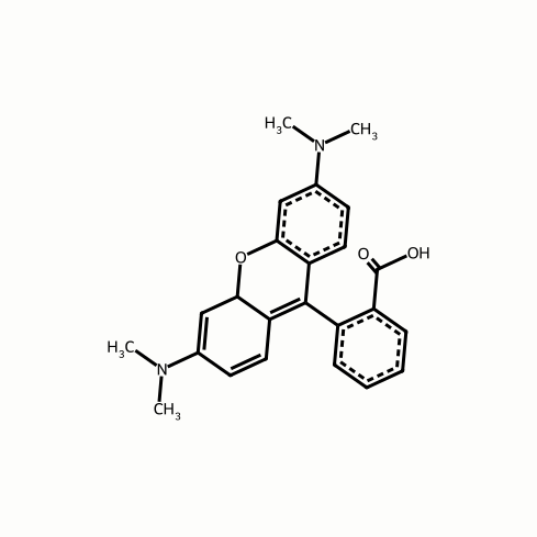 CN(C)C1=CC2Oc3cc(N(C)C)ccc3C(c3ccccc3C(=O)O)=C2C=C1